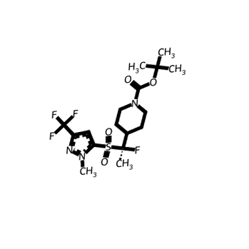 Cn1nc(C(F)(F)F)cc1S(=O)(=O)[C@](C)(F)C1CCN(C(=O)OC(C)(C)C)CC1